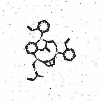 C=CC(C)=C=CN1C2=C(C)C(=CC2)N(c2ccccc2C=C)C/C=C(\C(=C)C)N(c2ccccc2C=C)c2cccc1c2C